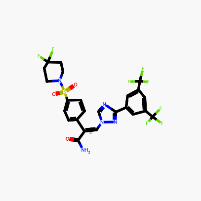 NC(=O)/C(=C/n1cnc(-c2cc(C(F)(F)F)cc(C(F)(F)F)c2)n1)c1ccc(S(=O)(=O)N2CCC(F)(F)CC2)cc1